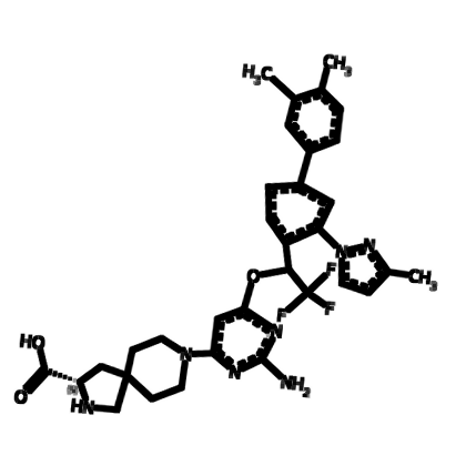 Cc1ccn(-c2cc(-c3ccc(C)c(C)c3)ccc2C(Oc2cc(N3CCC4(CC3)CN[C@H](C(=O)O)C4)nc(N)n2)C(F)(F)F)n1